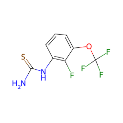 NC(=S)Nc1cccc(OC(F)(F)F)c1F